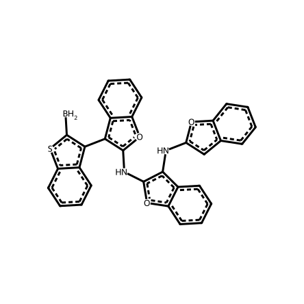 Bc1sc2ccccc2c1-c1c(Nc2oc3ccccc3c2Nc2cc3ccccc3o2)oc2ccccc12